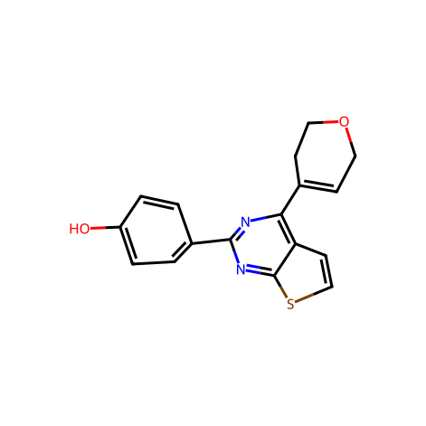 Oc1ccc(-c2nc(C3=CCOCC3)c3ccsc3n2)cc1